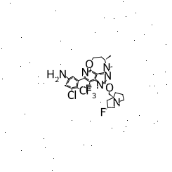 C[C@@H]1CCOc2nc(-c3cc(N)cc(Cl)c3C(F)(F)F)c(F)c3nc(OC[C@@]45CCCN4C[C@H](F)C5)nc(c23)N1C